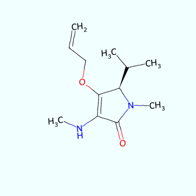 C=CCOC1=C(NC)C(=O)N(C)[C@@H]1C(C)C